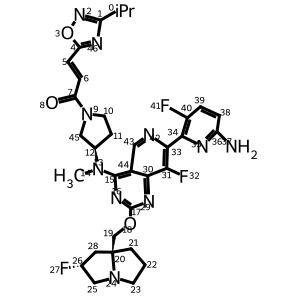 CC(C)c1noc(/C=C/C(=O)N2CC[C@@H](N(C)c3nc(OC[C@@]45CCCN4C[C@H](F)C5)nc4c(F)c(-c5nc(N)ccc5F)ncc34)C2)n1